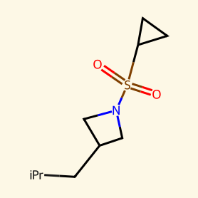 CC(C)CC1CN(S(=O)(=O)C2CC2)C1